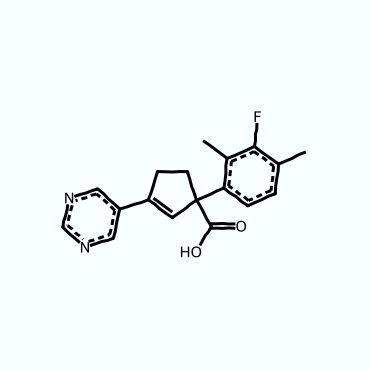 Cc1ccc(C2(C(=O)O)C=C(c3cncnc3)CC2)c(C)c1F